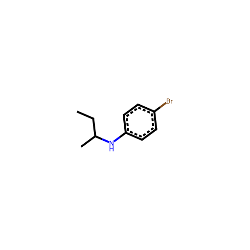 CCC(C)Nc1ccc(Br)cc1